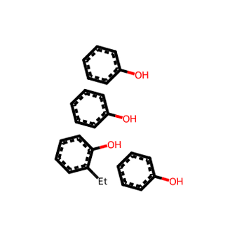 CCc1ccccc1O.Oc1ccccc1.Oc1ccccc1.Oc1ccccc1